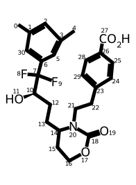 Cc1cc(C)cc(C(F)(F)[C@H](O)CCC2CCOC(=O)N2CCc2ccc(C(=O)O)cc2)c1